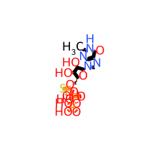 Cc1nc2c(ncn2[C@@H]2O[C@H](COP(O)(=S)OP(=O)(O)OP(=O)(O)O)C(O)[C@@H]2O)c(=O)[nH]1